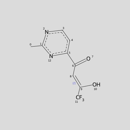 Cc1nccc(C(=O)/C=C(\O)C(F)(F)F)n1